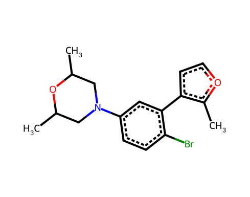 Cc1occc1-c1cc(N2CC(C)OC(C)C2)ccc1Br